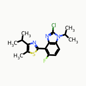 Cc1sc(-c2c(F)ccc3c2nc(Cl)n3C(C)C)nc1C(C)C